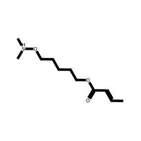 CC=CC(=O)OCCCCCO[SiH](C)C